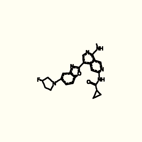 CNc1ncc(-c2nc3cc(N4CC[C@@H](F)C4)ccc3o2)c2cc(NC(=O)C3CC3)ncc12